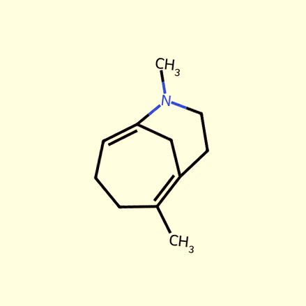 CC1=C2CCN(C)C(=CCC1)C2